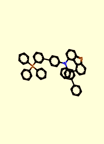 c1ccc(-c2ccc(N(c3ccc(-c4cccc(S(c5ccccc5)(c5ccccc5)c5ccccc5)c4)cc3)c3cccc4sc5cccc(-c6ccccc6)c5c34)cc2)cc1